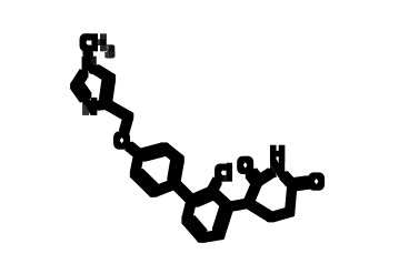 Cn1cnc(COc2ccc(-c3cccc(C4CCC(=O)NC4=O)c3Cl)cc2)c1